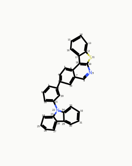 c1cc(-c2ccc3c(cnc4sc5ccccc5c43)c2)cc(-n2c3ccccc3c3ccccc32)c1